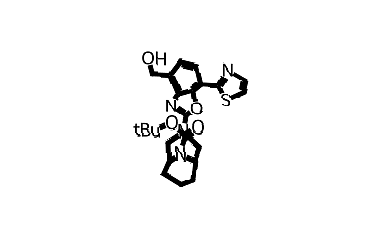 CC(C)(C)OC(=O)N1C2CCCC1CN(c1nc3c(CO)ccc(-c4nccs4)c3o1)C2